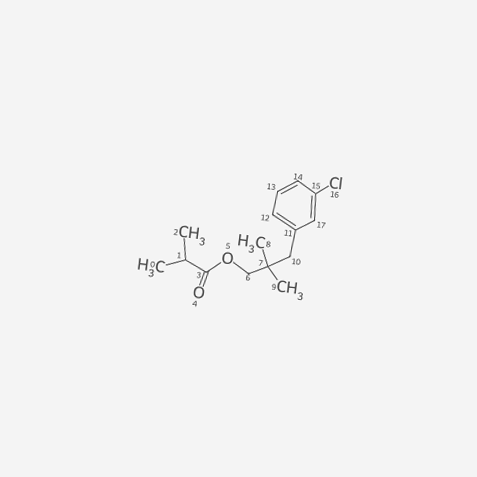 CC(C)C(=O)OCC(C)(C)Cc1cccc(Cl)c1